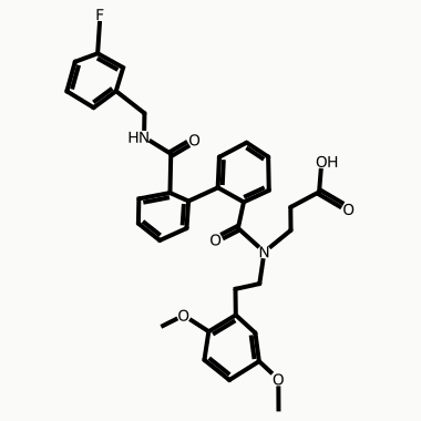 COc1ccc(OC)c(CCN(CCC(=O)O)C(=O)c2ccccc2-c2ccccc2C(=O)NCc2cccc(F)c2)c1